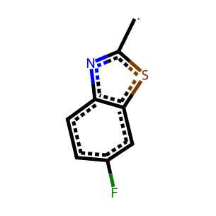 [CH2]c1nc2ccc(F)cc2s1